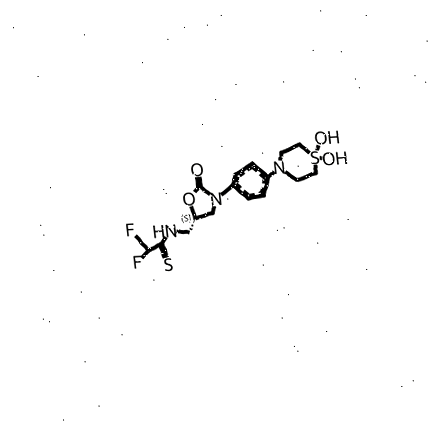 O=C1O[C@@H](CNC(=S)C(F)F)CN1c1ccc(N2CCS(O)(O)CC2)cc1